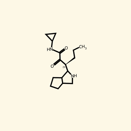 CCC[C@H](C(=O)C(=O)NC1CC1)C1NCC2CCCC21